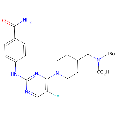 CC(C)(C)N(CC1CCN(c2nc(Nc3ccc(C(N)=O)cc3)ncc2F)CC1)C(=O)O